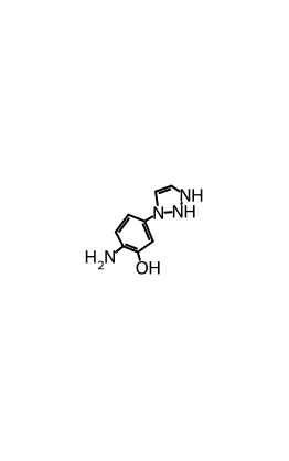 Nc1ccc(N2C=CNN2)cc1O